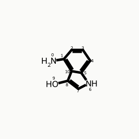 Nc1cccc2[nH]cc(O)c12